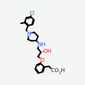 Cc1cc(Cl)ccc1CN1CCC(NC[C@H](O)COc2ccccc2CC(=O)O)CC1